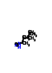 CC(C)=CCCC(C)=CCCC(C)=CCCC(C)=CCNCC12CCCN1CCC2